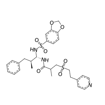 CC(CS(=O)(=O)CCc1ccncc1)C(=O)N[C@@H](NS(=O)(=O)c1ccc2c(c1)OCO2)[C@@H](C)Cc1ccccc1